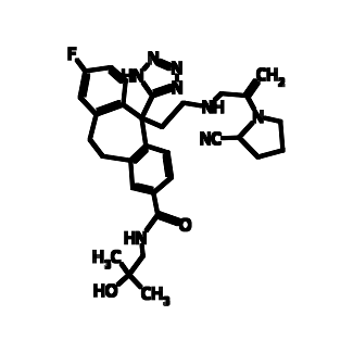 C=C(CNCCC1(c2nnn[nH]2)c2ccc(F)cc2CCc2cc(C(=O)NCC(C)(C)O)ccc21)N1CCCC1C#N